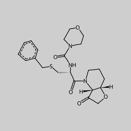 O=C1CO[C@H]2CCCN(C(=O)[C@H](CSCc3ccccc3)NC(=O)N3CCOCC3)[C@@H]12